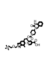 Cc1cc(CC(OC(=O)N2CCC(N3Cc4ccccc4NC3=O)CC2)c2cc(C(=O)O)ccn2)cc2cn(COCC[Si](C)(C)C)nc12